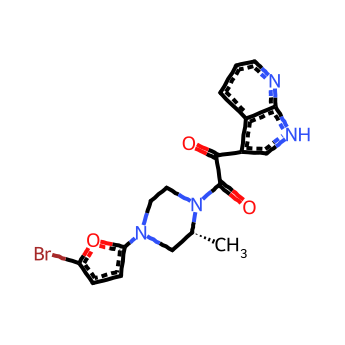 C[C@@H]1CN(c2ccc(Br)o2)CCN1C(=O)C(=O)c1c[nH]c2ncccc12